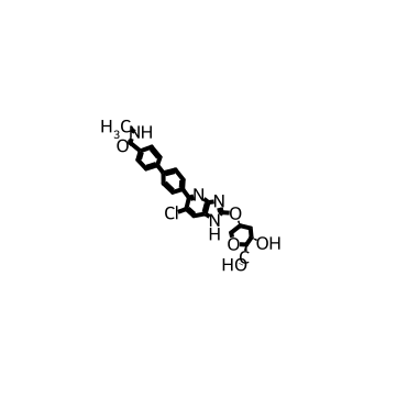 CNC(=O)c1ccc(-c2ccc(-c3nc4nc(O[C@H]5CO[C@H](CO)[C@@H](O)C5)[nH]c4cc3Cl)cc2)cc1